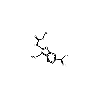 C=C(C)c1cnc2c(C(=O)OCC)c(NC(=O)OC(C)(C)C)oc2c1